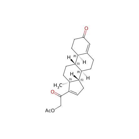 CC(=O)OCC(=O)C1=CC[C@H]2[C@@H]3CCC4=CC(=O)CC[C@@H]4[C@H]3CC[C@]12C